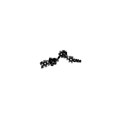 COc1ccc(CCNc2ncnc3ccc(C#CCNC(=O)c4cncn(Cc5ccc(F)c(F)c5)c4=O)cc23)cc1